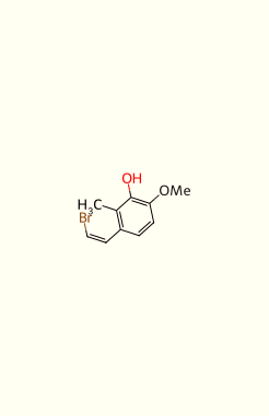 COc1ccc(/C=C\Br)c(C)c1O